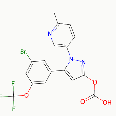 Cc1ccc(-n2nc(OC(=O)O)cc2-c2cc(Br)cc(OC(F)(F)F)c2)cn1